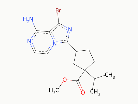 COC(=O)C1(C(C)C)CCC(c2nc(Br)c3c(N)nccn23)C1